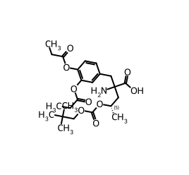 CCC(=O)Oc1ccc(CC(N)(C[C@H](C)OC(=O)OCC(C)(C)C)C(=O)O)cc1OC(=O)CC